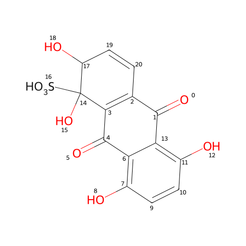 O=C1C2=C(C(=O)c3c(O)ccc(O)c31)C(O)(S(=O)(=O)O)C(O)C=C2